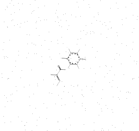 CC=C(C)C(=O)Oc1c(Br)c(Br)c(Br)c(Br)c1Br